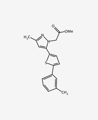 COC(=O)Cn1nc(C)cc1-c1ccc(-c2cccc(C)c2)s1